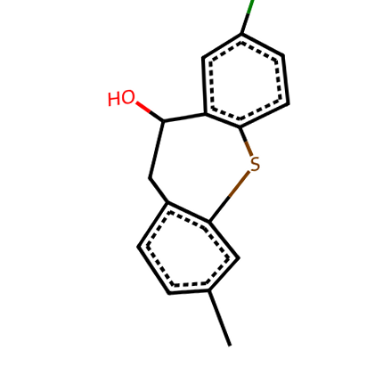 Cc1ccc2c(c1)Sc1ccc(F)cc1C(O)C2